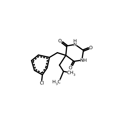 CC(C)CC1(Cc2cccc(Cl)c2)C(=O)NC(=O)NC1=O